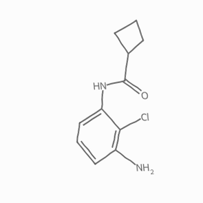 Nc1cccc(NC(=O)C2CCC2)c1Cl